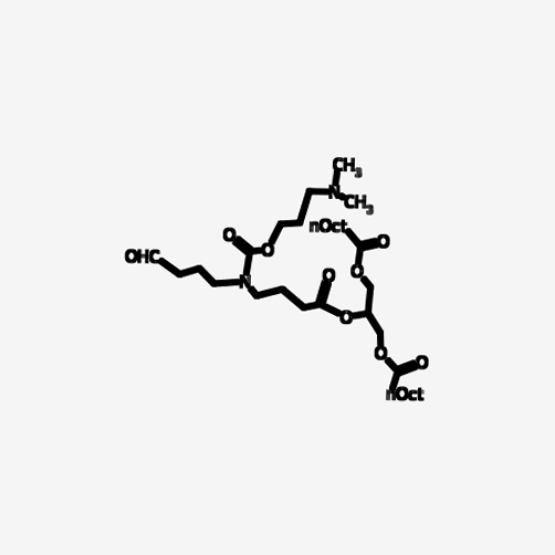 CCCCCCCCC(=O)OCC(COC(=O)CCCCCCCC)OC(=O)CCCN(CCCC=O)C(=O)OCCCN(C)C